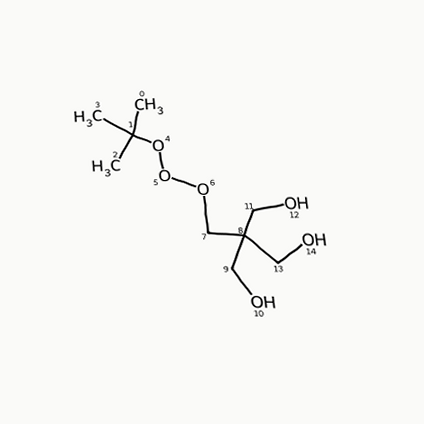 CC(C)(C)OOOCC(CO)(CO)CO